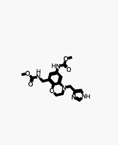 COC(=O)NCc1cc(NC(=O)OC)cc2c1OCCN2Cc1c[nH]cn1